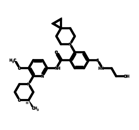 COc1ccc(NC(=O)c2ccc(SNCCO)cc2N2CCC3(CC2)CC3)nc1N1CCO[C@@H](C)C1